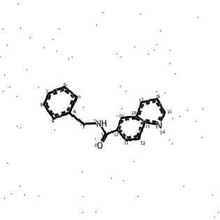 O=C(NCc1ccccc1)c1ccc2ncccc2c1